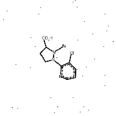 O=C(O)C1CCN(c2ncccc2Cl)N1Br